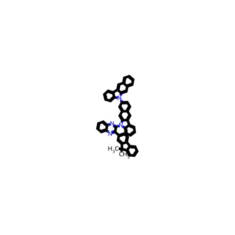 CC1(C)c2ccccc2-c2ccc(-c3nc4ccccc4nc3-n3c4ccccc4c4cc5ccc(-n6c7ccccc7c7cc8ccccc8cc76)cc5cc43)cc21